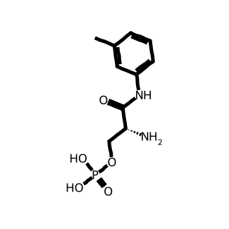 Cc1cccc(NC(=O)[C@H](N)COP(=O)(O)O)c1